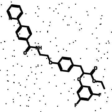 CCOC(=O)C(Cc1ccc(OCCNC(=O)c2ccc(-c3ccccn3)cc2)cc1)Oc1cc(F)cc(F)c1